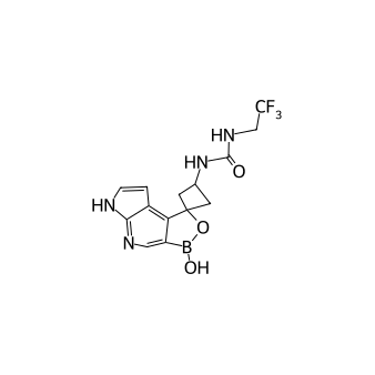 O=C(NCC(F)(F)F)NC1CC2(C1)OB(O)c1cnc3[nH]ccc3c12